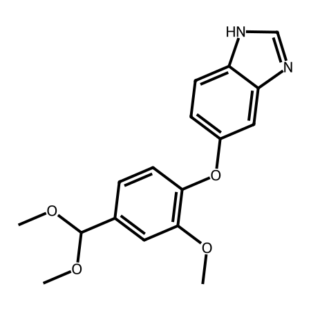 COc1cc(C(OC)OC)ccc1Oc1ccc2[nH]cnc2c1